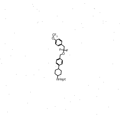 CCCCCCCC1CCC(c2ccc(COC(F)(F)Cc3ccc(OC(F)(F)F)cc3)cc2)CC1